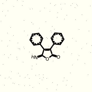 N=C1OC(=O)C(c2ccccc2)=C1c1ccccc1